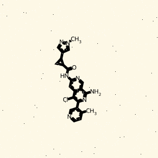 Cc1ccncc1-c1nc(N)c2cnc(NC(=O)C3CC3c3cnn(C)c3)cc2c1Cl